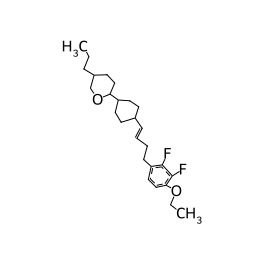 CCCC1CCC(C2CCC(/C=C/CCc3ccc(OCC)c(F)c3F)CC2)OC1